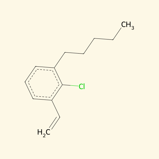 C=Cc1cccc(CCCCC)c1Cl